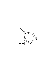 Cn1ccnc1.[HH]